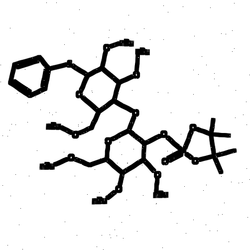 CCCCOCC1OC(OC2C(COCCCC)OC(Sc3ccccc3)C(OCCCC)C2OCCCC)C(OP2(=O)OC(C)(C)C(C)(C)O2)C(OCCCC)C1OCCCC